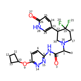 CC(C(=O)Nc1ccc(OC2CCC2)nn1)N1CCC(F)(F)C(c2ccc(=O)[nH]c2)C1